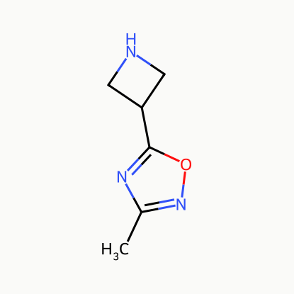 Cc1noc(C2CNC2)n1